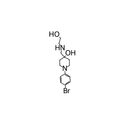 OCCNCC1(O)CCN(c2ccc(Br)cc2)CC1